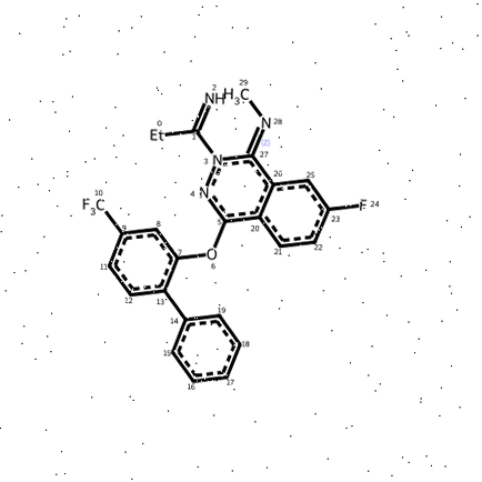 CCC(=N)n1nc(Oc2cc(C(F)(F)F)ccc2-c2ccccc2)c2ccc(F)cc2/c1=N/C